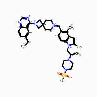 CCS(=O)(=O)N1CCN(C(C)Cn2c(C#N)cc3c(C)c(CN4CCC5(CC4)CN(c4ncnc6ccc(CC(F)(F)F)cc46)C5)ccc32)CC1